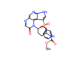 CC(C)(C)OC(=O)NC1CCC(n2c(=O)cnc3cnc4[nH]cc(S(=O)(=O)c5ccccc5)c4c32)CC1